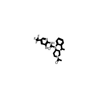 CC(=O)N1CCC(N(C(=O)Nc2ncc(C(F)(F)F)cc2Br)c2ccccc2C(C)C)CC1